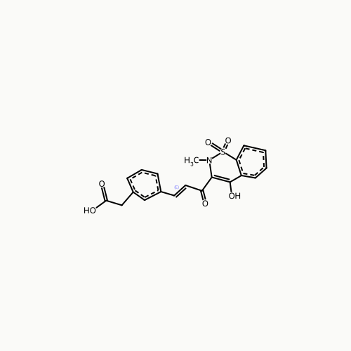 CN1C(C(=O)/C=C/c2cccc(CC(=O)O)c2)=C(O)c2ccccc2S1(=O)=O